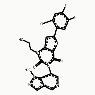 Cn1ncc2cncc(-n3c(=O)c4sc(-c5cc(F)c(F)cc5Cl)cc4n(CCC#N)c3=O)c21